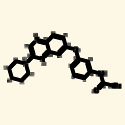 CC(C)(C)C(=O)Nc1cccc(Oc2ccc3ncc(N4CCCCC4)nc3c2)c1